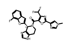 Cn1cnc(-c2nc(C(F)F)c(C(=O)N3CCc4[nH]cnc4[C@H]3c3cc4cccc(F)c4o3)o2)c1